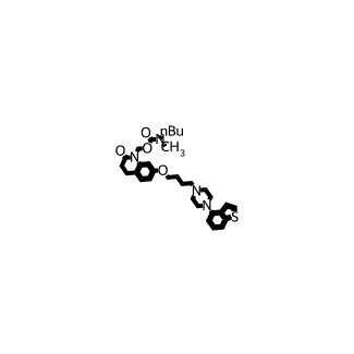 CCCCN(C)C(=O)OCN1C(=O)CCc2ccc(OCCCCN3CCN(c4cccc5sccc45)CC3)cc21